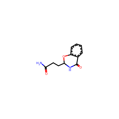 NC(=O)CCC1NC(=O)c2ccccc2O1